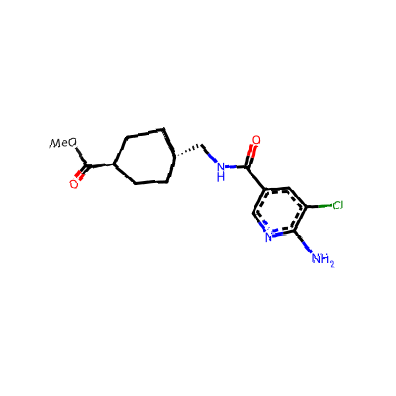 COC(=O)[C@H]1CC[C@H](CNC(=O)c2cnc(N)c(Cl)c2)CC1